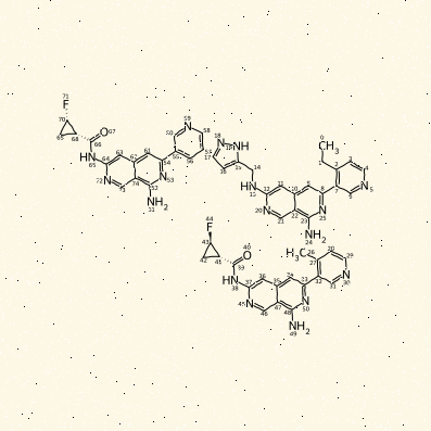 CCc1ccncc1-c1cc2cc(NCc3ccn[nH]3)ncc2c(N)n1.Cc1ccncc1-c1cc2cc(NC(=O)[C@@H]3C[C@H]3F)ncc2c(N)n1.Nc1nc(-c2cccnc2)cc2cc(NC(=O)[C@@H]3C[C@@H]3F)ncc12